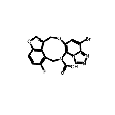 O=C(O)N1Cc2c(F)ccc3c2[C@@H](CO3)COc2cc(Br)c3nncn3c21